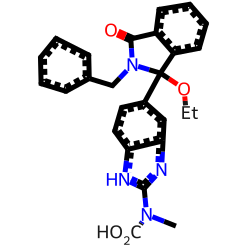 CCOC1(c2ccc3[nH]c(N(C)C(=O)O)nc3c2)c2ccccc2C(=O)N1Cc1ccccc1